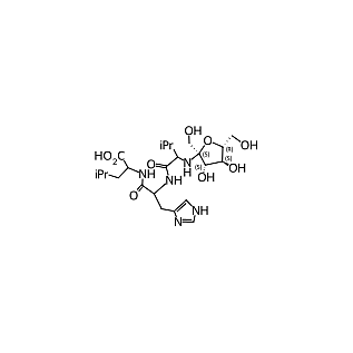 CC(C)CC(NC(=O)C(Cc1c[nH]cn1)NC(=O)C(N[C@@]1(CO)O[C@H](CO)[C@@H](O)[C@@H]1O)C(C)C)C(=O)O